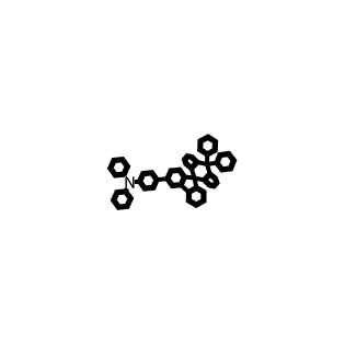 c1ccc(N(c2ccccc2)c2ccc(-c3ccc4c(c3)-c3ccccc3C43c4ccccc4C(c4ccccc4)(c4ccccc4)c4ccccc43)cc2)cc1